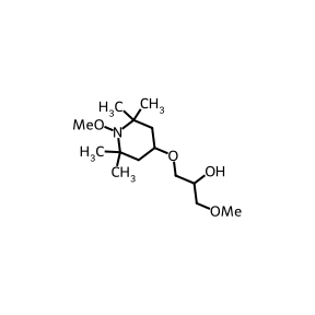 COCC(O)COC1CC(C)(C)N(OC)C(C)(C)C1